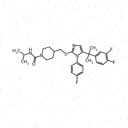 CC(C)NC(=O)N1CCC(CSc2ncc(C(C)(C)c3ccc(F)c(F)c3)n2-c2ccc(F)cc2)CC1